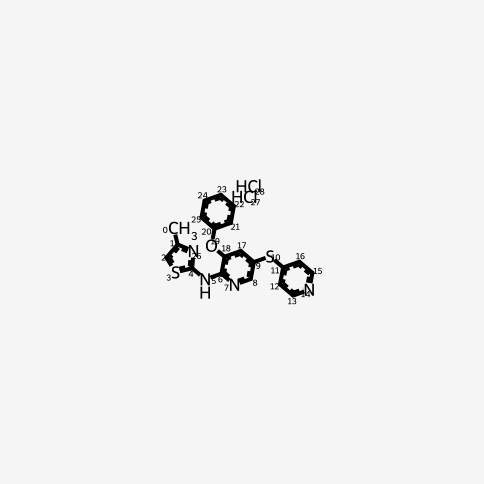 Cc1csc(Nc2ncc(Sc3ccncc3)cc2Oc2ccccc2)n1.Cl.Cl